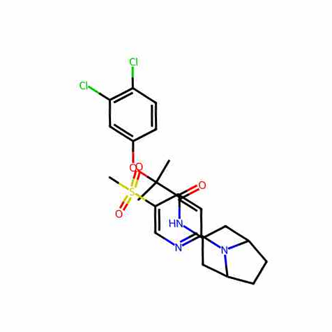 CC(C)(Oc1ccc(Cl)c(Cl)c1)C(=O)NC1CC2CCC(C1)N2c1ccc(S(C)(=O)=O)cn1